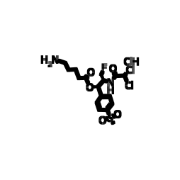 CS(=O)(=O)c1ccc([C@@H](OC(=O)CCCCN)[C@@H](CF)NC(=O)C(Cl)Cl)cc1.Cl